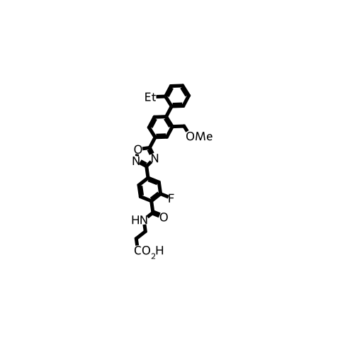 CCc1ccccc1-c1ccc(-c2nc(-c3ccc(C(=O)NCCC(=O)O)c(F)c3)no2)cc1COC